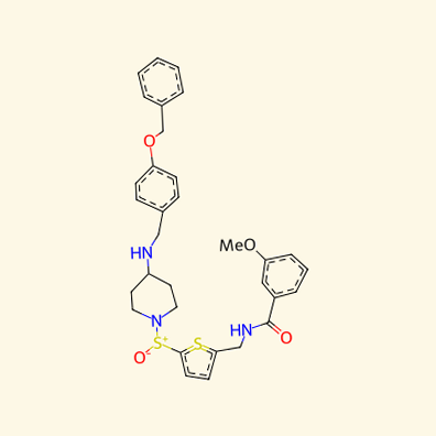 COc1cccc(C(=O)NCc2ccc([S+]([O-])N3CCC(NCc4ccc(OCc5ccccc5)cc4)CC3)s2)c1